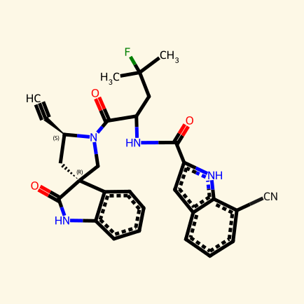 C#C[C@@H]1C[C@@]2(CN1C(=O)C(CC(C)(C)F)NC(=O)c1cc3cccc(C#N)c3[nH]1)C(=O)Nc1ccccc12